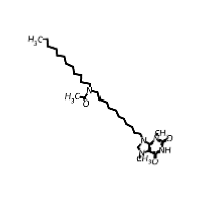 CCCCCCCCCCCCN(CCCCCCCCCCCN1CN(C)c2c1n(C)c(=O)[nH]c2=O)C(C)=O